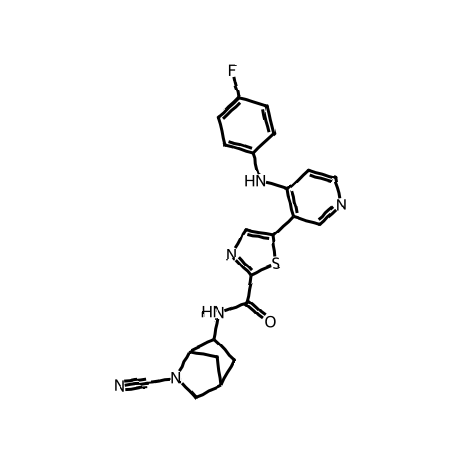 N#CN1CC2CC(NC(=O)c3ncc(-c4cnccc4Nc4ccc(F)cc4)s3)C1C2